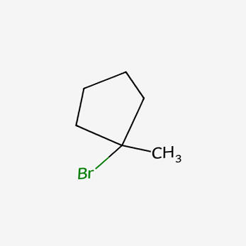 CC1(Br)CCCC1